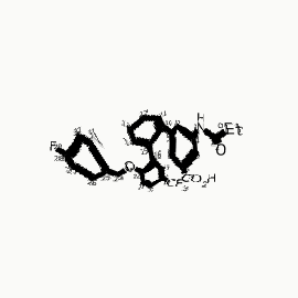 CCC(=O)Nc1cc(C(=O)O)cc(-c2ccccc2-c2cc(C(F)(F)F)ccc2OCc2ccc(F)cc2)c1